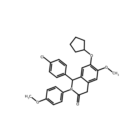 COc1ccc(N2C(=O)Cc3cc(OC)c(OC4CCCC4)cc3C2c2ccc(Cl)cc2)cc1